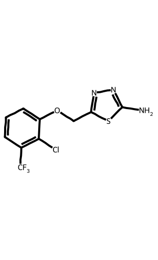 Nc1nnc(COc2cccc(C(F)(F)F)c2Cl)s1